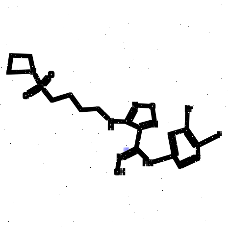 O=S(=O)(CCCCNc1nonc1/C(=N/O)Nc1ccc(F)c(Br)c1)N1CCC1